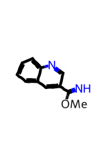 COC(=N)c1cnc2ccccc2c1